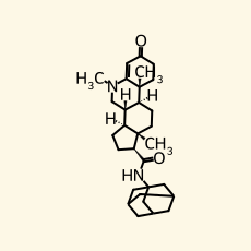 CN1C[C@H]2[C@@H]3CC[C@H](C(=O)NC45CC6CC(CC(C6)C4)C5)[C@@]3(C)CC[C@@H]2[C@@]2(C)CCC(=O)C=C12